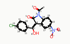 CC(=O)N1C(=O)C(=C(O)c2ccc(Cl)cc2)c2cc([N+](=O)[O-])ccc21